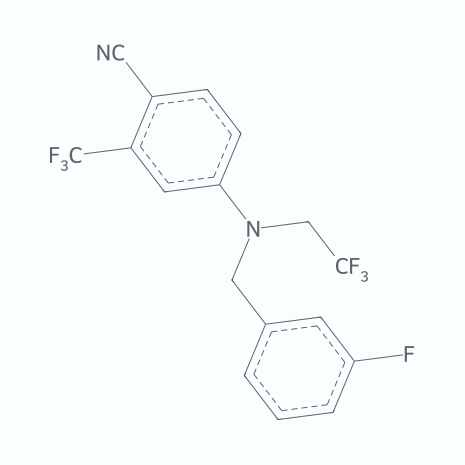 N#Cc1ccc(N(Cc2cccc(F)c2)CC(F)(F)F)cc1C(F)(F)F